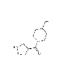 COC1CCN(C(=O)C2CCNC2)CC1